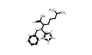 CC(C)CCCC(C(=O)O)[C@H](Cc1ccccc1)c1nnn[nH]1